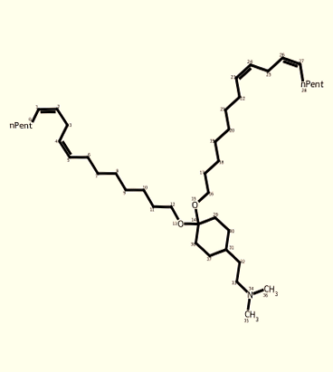 CCCCC/C=C\C/C=C\CCCCCCCOC1(OCCCCCCC/C=C\C/C=C\CCCCC)CCC(CCN(C)C)CC1